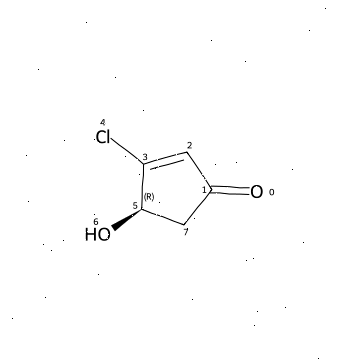 O=C1C=C(Cl)[C@H](O)C1